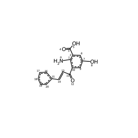 Nc1c(C(=O)O)cc(O)cc1C(=O)/C=C/c1ccccc1